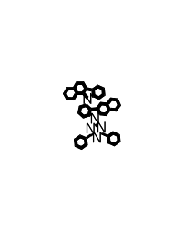 c1ccc(-c2nc(-c3ccccc3)nc(-n3c4cc5ccccc5cc4c4c(-n5c6ccccc6c6ccc7ccccc7c65)cccc43)n2)cc1